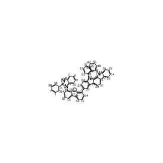 c1ccc(-c2nc3ccccc3n2-c2cccc3c2oc2c(-c4ccc5c(c4)c4ccc6c7ccccc7n(-c7ccccc7)c6c4n5-c4ccccc4)cccc23)cc1